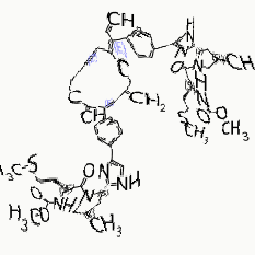 C=C/C(=C1\C=C/CCCC(=C)/C(c2ccc(-c3c[nH]c([C@@H]4C[C@@H](C)CN4C(=O)[C@H](CCSC)NC(=O)OC)n3)cc2)=C\C(=C)CC1)c1ccc(-c2c[nH]c([C@@H]3C[C@@H](C)CN3C(=O)[C@H](CCSC)NC(=O)OC)n2)cc1